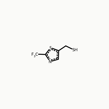 FC(F)(F)c1ncc(CS)s1